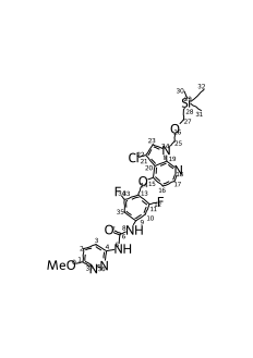 COc1ccc(NC(=O)Nc2cc(F)c(Oc3ccnc4c3c(Cl)cn4COCC[Si](C)(C)C)c(F)c2)nn1